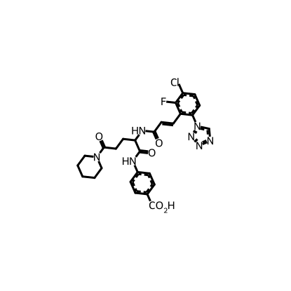 O=C(/C=C/c1c(-n2cnnn2)ccc(Cl)c1F)NC(CCC(=O)N1CCCCC1)C(=O)Nc1ccc(C(=O)O)cc1